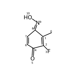 CC1=C(F)C(=O)C=CC1=NO